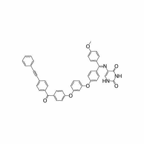 COc1ccc(C(=Nc2c[nH]c(=O)[nH]c2=O)c2ccc(Oc3cccc(Oc4ccc(C(=O)c5ccc(C#Cc6ccccc6)cc5)cc4)c3)cc2)cc1